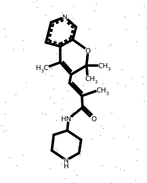 CC1=C(/C=C(\C)C(=O)NC2CCNCC2)C(C)(C)Oc2cnccc21